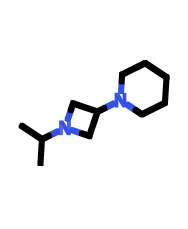 CC(C)N1CC(N2CCCCC2)C1